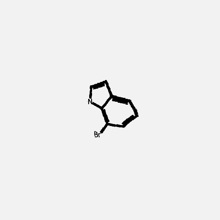 Brc1cccc2c1[N]C=C2